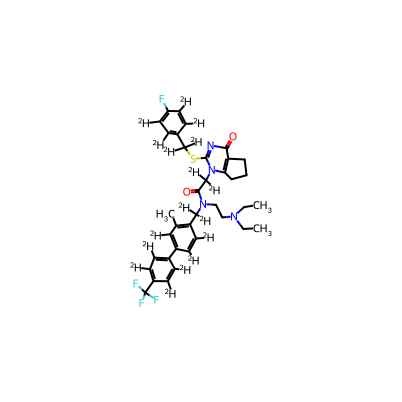 [2H]c1c([2H])c(C([2H])([2H])Sc2nc(=O)c3c(n2C([2H])([2H])C(=O)N(CCN(CC)CC)C([2H])([2H])c2c([2H])c([2H])c(-c4c([2H])c([2H])c(C(F)(F)F)c([2H])c4[2H])c([2H])c2C)CCC3)c([2H])c([2H])c1F